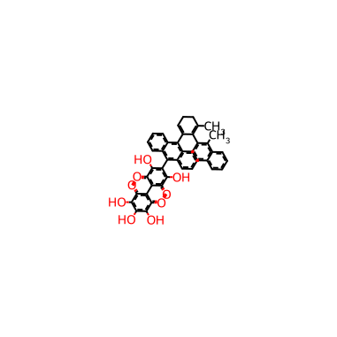 CC1=C(c2ccc3ccccc3c2C)C(c2c3ccccc3c(-c3c(O)c4ooc5c(O)c(O)c(O)c6ooc(c3O)c4-c56)c3ccccc23)=CCC1